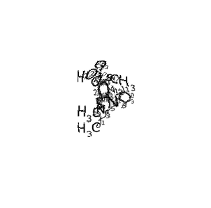 CCCCC1CN(c2ccccc2)c2cc(SC)c(OCC(O)C=O)cc2SN1C